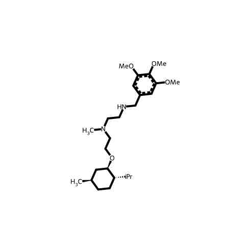 COc1cc(CNCCN(C)CCO[C@@H]2C[C@H](C)CC[C@H]2C(C)C)cc(OC)c1OC